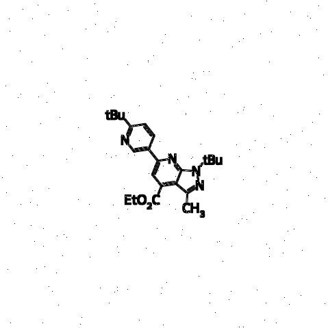 CCOC(=O)c1cc(-c2ccc(C(C)(C)C)nc2)nc2c1c(C)nn2C(C)(C)C